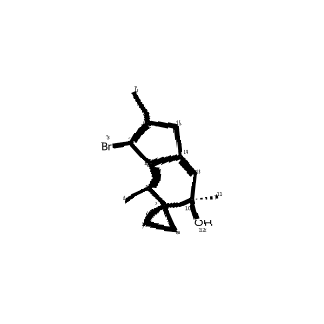 CC1=C(Br)C2=C(C)C3(CC3)[C@](C)(O)C=C2C1